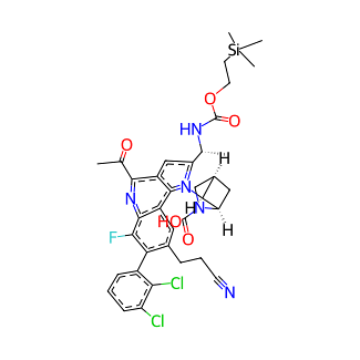 CC(=O)c1nc2c(F)c(-c3cccc(Cl)c3Cl)c(CCC#N)cc2c2c1cc([C@@H](C)NC(=O)OCC[Si](C)(C)C)n2[C@H]1[C@@H]2C[C@H]1N(C(=O)O)C2